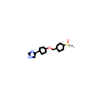 C[S+]([O-])c1ccc(COc2ccc(-c3c[nH]cn3)cc2)cc1